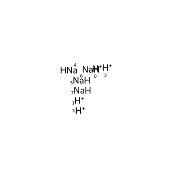 [H+].[H+].[H+].[H+].[NaH].[NaH].[NaH].[NaH]